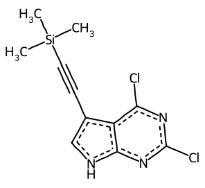 C[Si](C)(C)C#Cc1c[nH]c2nc(Cl)nc(Cl)c12